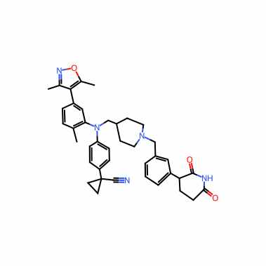 Cc1ccc(-c2c(C)noc2C)cc1N(CC1CCN(Cc2cccc(C3CCC(=O)NC3=O)c2)CC1)c1ccc(C2(C#N)CC2)cc1